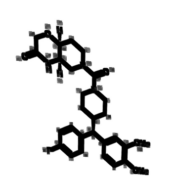 COc1ccc([C@@H](c2ccc(F)cc2)C2CCN(C(=O)N3CC[C@@H]4OCC(=O)N[C@@H]4C3)CC2)cc1OC